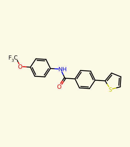 O=C(Nc1ccc(OC(F)(F)F)cc1)c1ccc(-c2cccs2)cc1